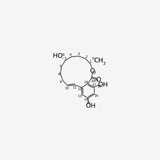 C[C@H]1CCC[C@@H](O)CCC/C=C/c2cc(O)cc(O)c2C(=O)O1